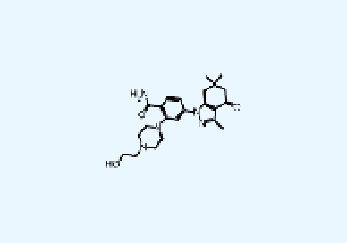 Cc1nn(-c2ccc(C(N)=O)c(N3CCN(CCO)CC3)c2)c2c1C(=O)CC(C)(C)C2